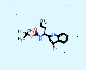 C=CC[C@H](NC(=O)OC(C)(C)C)c1cc(Br)c2ccccc2n1